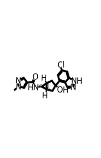 Cn1cc(C(=O)N[C@H]2[C@@H]3C[C@](O)(c4cc(Cl)cc5[nH]ncc45)C[C@@H]32)cn1